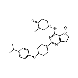 CC(C)c1ccc(OC2CCN(c3nc4c(c(N[C@H]5CCC(=O)N(C)C5)n3)[S+]([O-])CC4)CC2)cc1